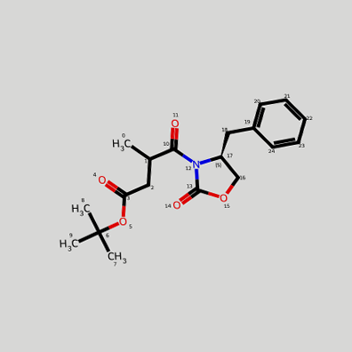 CC(CC(=O)OC(C)(C)C)C(=O)N1C(=O)OC[C@@H]1Cc1ccccc1